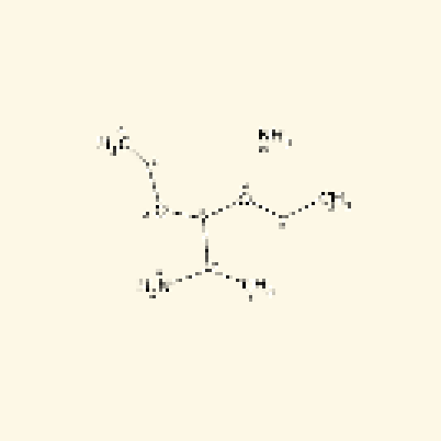 CCOC(OCC)C(C)N.N